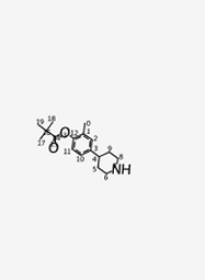 Cc1cc(C2CCNCC2)ccc1OC(=O)C(C)(C)C